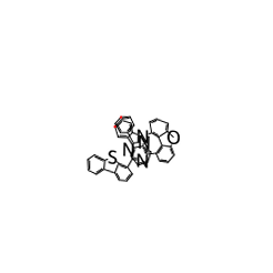 c1ccc(-c2nc(-c3cccc4c3sc3ccccc34)nc(-c3cccc4oc5cccc(-n6c7ccccc7c7ccccc76)c5c34)n2)cc1